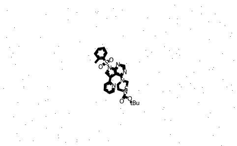 Cc1ccccc1S(=O)(=O)n1cc(-c2ccccn2)c2c(N3CCN(C(=O)OC(C)(C)C)CC3)ncnc21